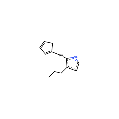 CCCc1cc[nH][c]1[Ru][C]1=CC=CC1